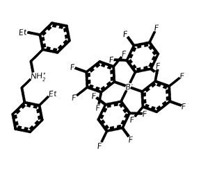 CCc1ccccc1C[NH2+]Cc1ccccc1CC.Fc1cc(F)c([B-](c2c(F)cc(F)c(F)c2F)(c2c(F)cc(F)c(F)c2F)c2c(F)cc(F)c(F)c2F)c(F)c1F